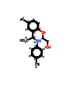 CC(C)c1ccc(OCCO)c(C(Nc2ccc(C#N)cc2)C(=O)O)c1